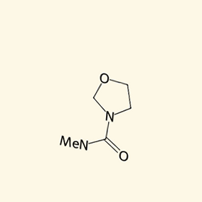 CNC(=O)N1CCOC1